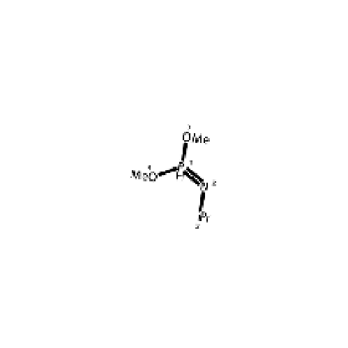 CO[PH](=NC(C)C)OC